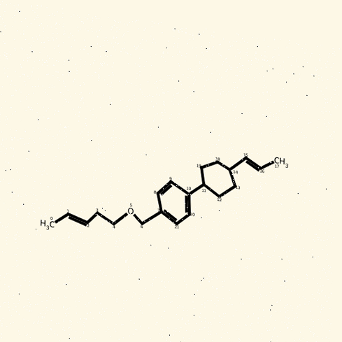 CC=CCCOCc1ccc(C2CCC(C=CC)CC2)cc1